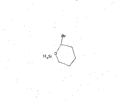 BrC1CCCCO1.[SiH4]